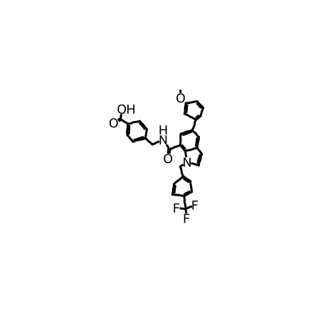 COc1cccc(-c2cc(C(=O)NCc3ccc(C(=O)O)cc3)c3c(ccn3Cc3ccc(C(F)(F)F)cc3)c2)c1